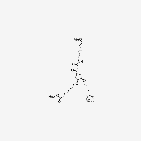 CCCCCCCCOC(=O)CCCCOC1CN(C(=O)CC(=O)NCCCOCCOC)CC1OCCCCCCC(=O)OCCCCCC